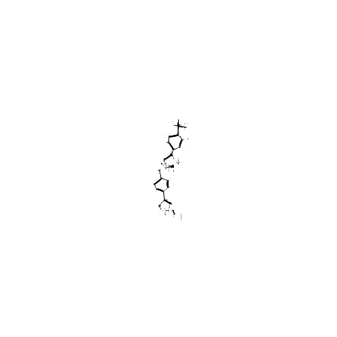 Cn1cc(-c2ccc(Cn3cc(-c4ccc(C(F)(F)F)cc4)nn3)cc2)cn1